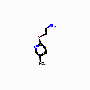 NCCSc1ccc([N+](=O)[O-])cn1